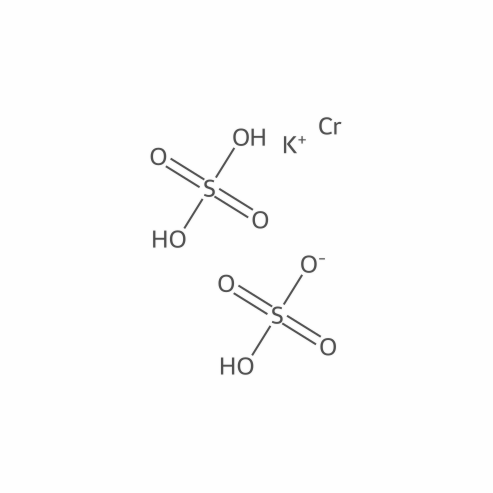 O=S(=O)(O)O.O=S(=O)([O-])O.[Cr].[K+]